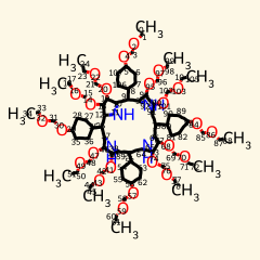 CCOCOC1CCC(C2C3NC(C(OCOCC)C3OCOCC)C(C3CCC(OCOCC)CC3)C3NC(C(OCOCC)C3OCOCC)C(C3CCC(OCOCC)CC3)C3NC(C(OCOCC)C3OCOCC)C(C3CCC(OCOCC)CC3)C3NC2C(OCOCC)C3OCOCC)CC1